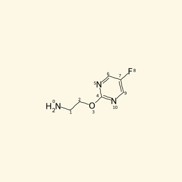 NCCOc1ncc(F)cn1